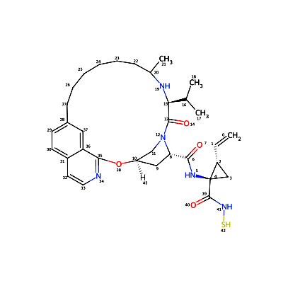 C=C[C@@H]1C[C@]1(NC(=O)[C@@H]1C[C@@H]2CN1C(=O)[C@H](C(C)C)NC(C)CCCCCCc1ccc3ccnc(c3c1)O2)C(=O)NS